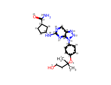 CC(C)(CCO)Oc1ccc(-n2nnc3cnc(N[C@@H]4CC[C@@H](C(N)=O)C4)nc32)cc1